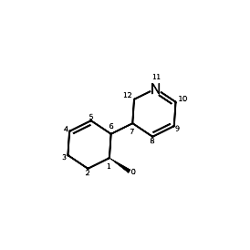 C[C@H]1CCC=CC1C1C=CC=NC1